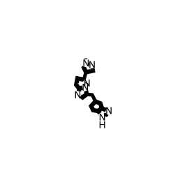 Cn1cc(-c2ccc3ncc(Cc4ccc5[nH]cnc5c4)n3n2)cn1